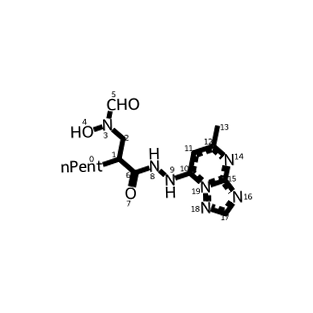 CCCCCC(CN(O)C=O)C(=O)NNc1cc(C)nc2ncnn12